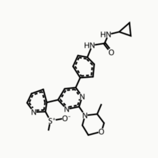 CC1COCCN1c1nc(-c2ccc(NC(=O)NC3CC3)cc2)cc(-c2cccnc2[S+](C)[O-])n1